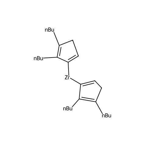 CCCCC1=C(CCCC)[C]([Zr][C]2=CCC(CCCC)=C2CCCC)=CC1